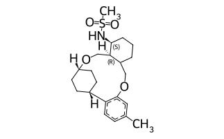 Cc1ccc2c(c1)OCC1CCC[C@H](NS(C)(=O)=O)[C@@H]1CO[C@H]1CC[C@@H]2CC1